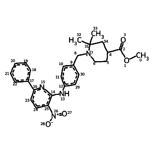 COC(=O)C1CCN(Cc2ccc(Nc3nc(-c4ccccc4)ccc3[N+](=O)[O-])cc2)C(C)(C)C1